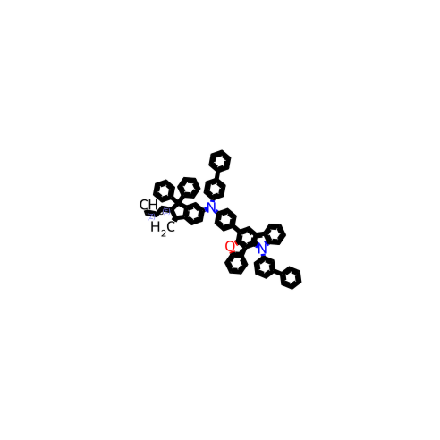 C=C1/C(=C\C=C/C)C(c2ccccc2)(c2ccccc2)c2cc(N(c3ccc(-c4ccccc4)cc3)c3ccc(-c4cc5c6ccccc6n(-c6cccc(-c7ccccc7)c6)c5c5c4oc4ccccc45)cc3)ccc21